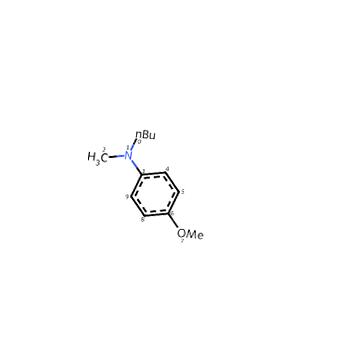 [CH2]CCCN(C)c1ccc(OC)cc1